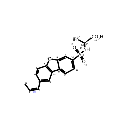 C/C=C\c1ccc2oc3cc(S(=O)(=O)N[C@H](C(=O)O)C(C)C)ccc3c2c1